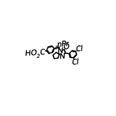 CCC[C@H](c1ccc(C(=O)O)cc1)N1C(=O)C(c2cc(Cl)cc(Cl)c2)=NC12CCCC2